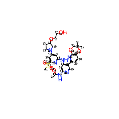 CC(=O)Nc1cc(Nc2cc(N3CC[C@@H](OCCO)C3)cc(S(C)(=O)=O)n2)c(-c2ccc3c(n2)OCC(C)(C)O3)cn1